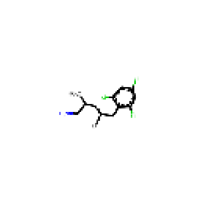 CCC(Cc1c(Cl)cc(Cl)cc1Cl)CC(CN)C(=O)O